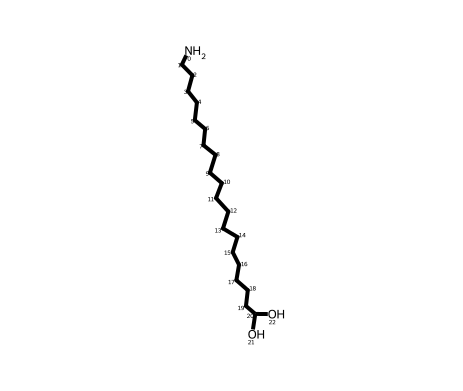 NCCCCCCCCCCCCCCCCCCCC(O)O